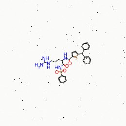 N=C(N)NCCCC(NC(=O)c1ccc(C(c2ccccc2)c2ccccc2)s1)C(=O)NS(=O)(=O)c1ccccc1